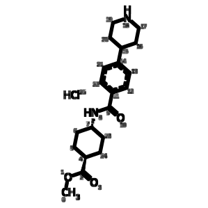 COC(=O)[C@H]1CC[C@H](NC(=O)c2ccc(C3CCNCC3)cc2)CC1.Cl